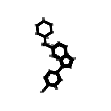 Fc1ccc(-c2cnc3ccc(NC4CCOCC4)nn23)cn1